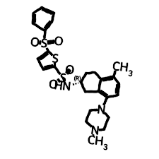 Cc1ccc(N2CCN(C)CC2)c2c1CC[C@@H](NS(=O)(=O)c1ccc(S(=O)(=O)c3ccccc3)s1)C2